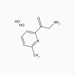 Cc1cccc(C(=O)CN)n1.Cl.Cl